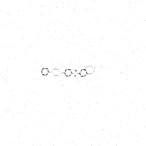 COc1cc2c(cc1S(=O)(=O)c1ccc(N3CCN(c4ccccc4Cl)CC3)cc1)CCN(C)CC2